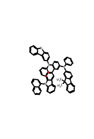 CC1(C)c2ccccc2-c2ccc(N(c3ccccc3)c3ccc(N(c4ccccc4)c4ccc5sc6ccccc6c5c4)c(-c4ccc5c(c4)c4ccccc4n5-c4cccc5ccccc45)c3)cc21